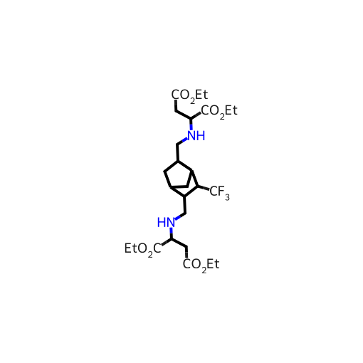 CCOC(=O)CC(NCC1CC2CC1C(C(F)(F)F)C2CNC(CC(=O)OCC)C(=O)OCC)C(=O)OCC